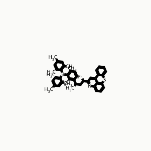 CCCC(CC(C)c1ccc(C)c(B(c2c(C)cc(C)cc2C)c2c(C)cc(C)cc2C)c1C)c1cc2c3c(cccc3n1)Sc1ccccc1-2